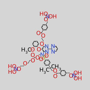 COc1ccccc1Oc1c(OCCOC(=O)c2ccc(CON(O)O)cc2)nc(-c2ncccn2)nc1N(COC(=O)OCCOCCON(O)O)S(=O)(=O)c1ccc(C(C)(C)COC(=O)c2ccc(CON(O)O)cc2)cc1